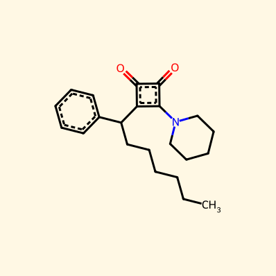 CCCCCCC(c1ccccc1)c1c(N2CCCCC2)c(=O)c1=O